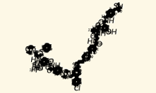 Cc1ncsc1-c1ccc([C@H](C)NC(=O)[C@@H]2C[C@@H](O)CN2C(=O)C(NC(=O)CNC(=O)c2ccc(N3CCN(CCN(C)CC4(C)CCC(c5ccc(Cl)cc5)=C(CN5CCN(c6ccc(C(=O)NS(=O)(=O)c7ccc(NC(CCN8CCOCC8)CSc8ccccc8)c(S(=O)(=O)C(F)(F)F)c7)cc6)CC5)C4)CC3)nc2)C(C)(C)C)cc1